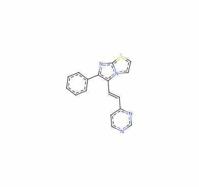 C(=Cc1c(-c2ccccc2)nc2sccn12)c1ccncn1